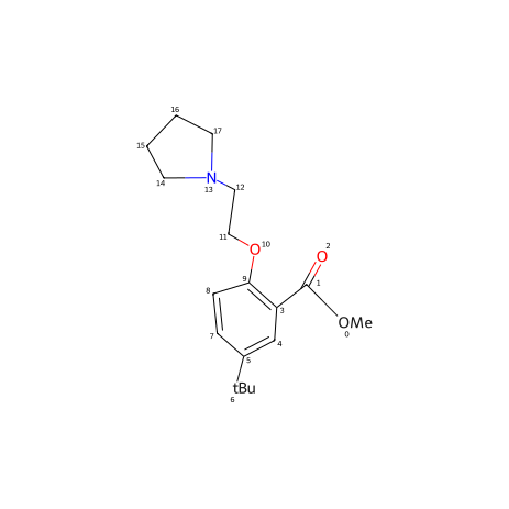 COC(=O)c1cc(C(C)(C)C)ccc1OCCN1CCCC1